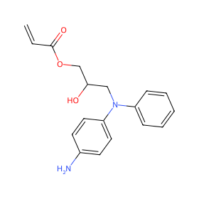 C=CC(=O)OCC(O)CN(c1ccccc1)c1ccc(N)cc1